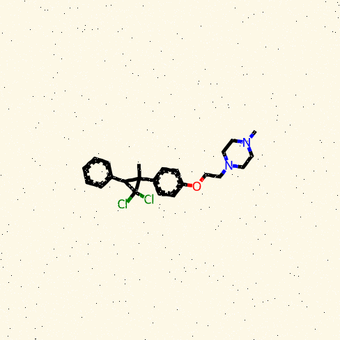 CN1CCN(CCOc2ccc(C3(C)C(c4ccccc4)C3(Cl)Cl)cc2)CC1